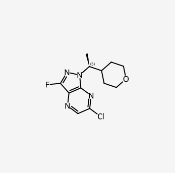 C[C@@H](C1CCOCC1)n1nc(F)c2ncc(Cl)nc21